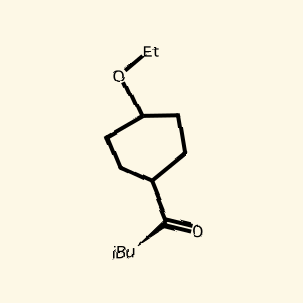 CCOC1CCC(C(=O)[C@H](C)CC)CC1